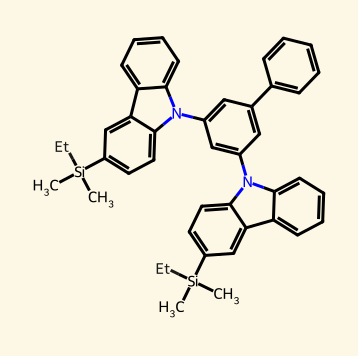 CC[Si](C)(C)c1ccc2c(c1)c1ccccc1n2-c1cc(-c2ccccc2)cc(-n2c3ccccc3c3cc([Si](C)(C)CC)ccc32)c1